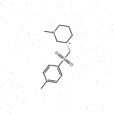 Cc1ccc(S(=O)(=O)C[C@H]2CCCN(C)C2)cc1